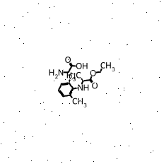 CCOC(=O)[C@H](C)Nc1c(C)cccc1Cl.NCC(=O)O